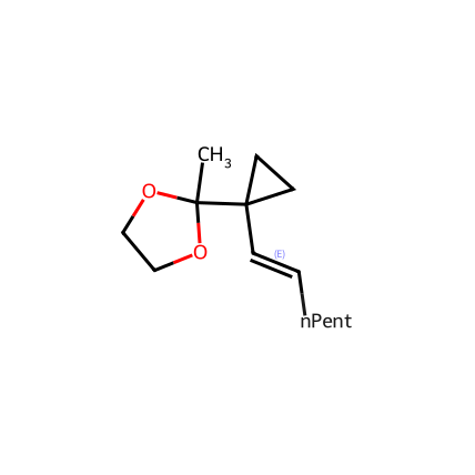 CCCCC/C=C/C1(C2(C)OCCO2)CC1